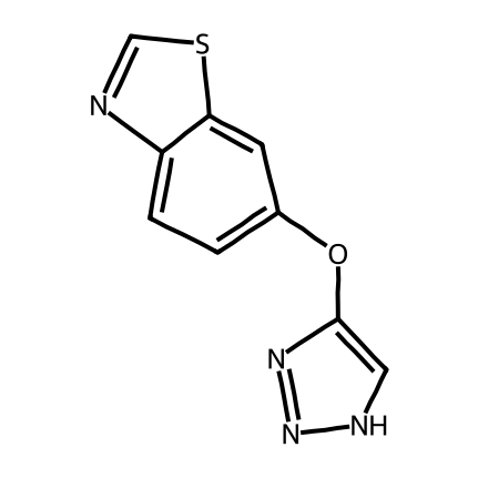 c1nc2ccc(Oc3c[nH]nn3)cc2s1